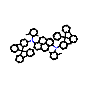 Cc1ccc(N(c2c(C)cccc2C)c2ccc3ccc4c(N(c5ccc(C)c(C6(c7ccccc7)c7ccccc7-c7ccccc76)c5)c5c(C)cccc5C)ccc5ccc2c3c54)cc1C1(c2ccccc2)c2ccccc2-c2ccccc21